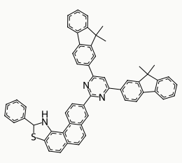 CC1(C)c2ccccc2-c2ccc(-c3cc(-c4ccc5c(c4)C(C)(C)c4ccccc4-5)nc(-c4ccc5c(ccc6ccc7c(c65)NC(c5ccccc5)S7)c4)n3)cc21